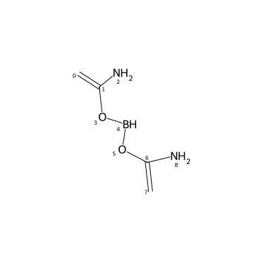 C=C(N)OBOC(=C)N